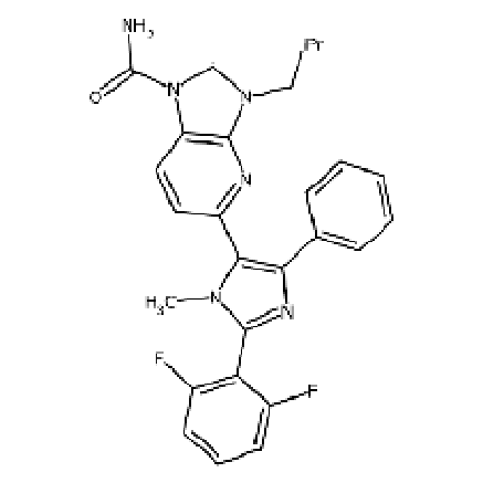 CC(C)CN1[CH]N(C(N)=O)c2ccc(-c3c(-c4ccccc4)nc(-c4c(F)cccc4F)n3C)nc21